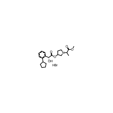 Br.COC(=O)C(C)N1CCC(OC(=O)[C@H](O)c2ccccc2C2CCCC2)C1